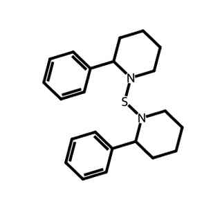 c1ccc(C2CCCCN2SN2CCCCC2c2ccccc2)cc1